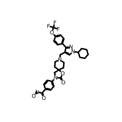 O=NC(=O)c1ccc(N2CC3(CCN(Cc4cn(C5CCCCC5)nc4-c4ccc(OC(F)(F)F)cc4)CC3)OC2=O)cc1